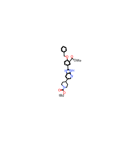 COC(=O)c1cc(-c2nc3cc(C4CCN(C(=O)OC(C)(C)C)CC4)cnc3[nH]2)ccc1OCc1ccccc1